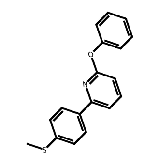 CSc1ccc(-c2cccc(Oc3ccccc3)n2)cc1